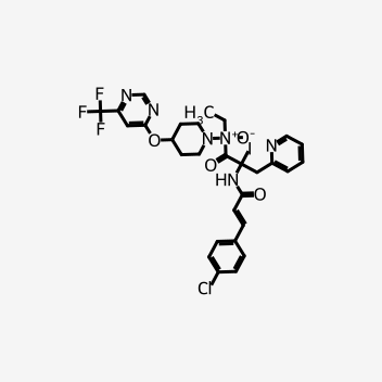 CC[N+]([O-])(C(=O)C(I)(Cc1ccccn1)NC(=O)C=Cc1ccc(Cl)cc1)N1CCC(Oc2cc(C(F)(F)F)ncn2)CC1